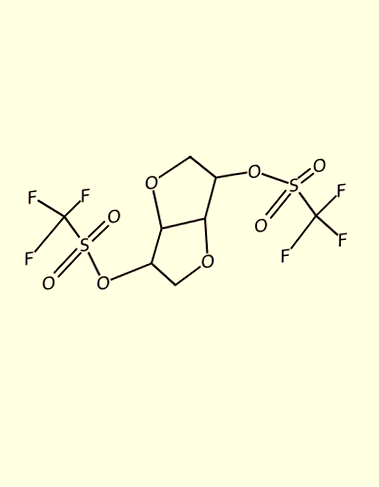 O=S(=O)(OC1COC2C(OS(=O)(=O)C(F)(F)F)COC12)C(F)(F)F